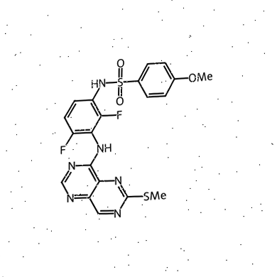 COc1ccc(S(=O)(=O)Nc2ccc(F)c(Nc3ncnc4cnc(SC)nc34)c2F)cc1